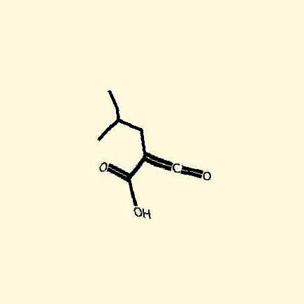 CC(C)CC(=C=O)C(=O)O